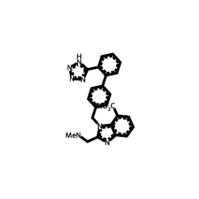 CCOC(=O)c1cccc2nc(CNC)n(Cc3ccc(-c4ccccc4-c4nnn[nH]4)cc3)c12